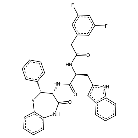 O=C(Cc1cc(F)cc(F)c1)N[C@@H](Cc1cc2ccccc2[nH]1)C(=O)N[C@@H]1C(=O)Nc2ccccc2S[C@@H]1c1ccccc1